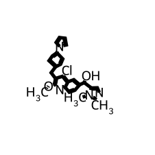 COc1nc2ccc(C(O)c3cnc(C)n3C)cc2c(Cl)c1Cc1ccc(-n2cccc2)cc1